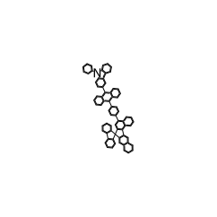 c1ccc(-n2c3ccccc3c3cc(-c4c5ccccc5c(-c5ccc(-c6cc7c(c8ccccc68)-c6cc8ccccc8cc6C76c7ccccc7-c7ccccc76)cc5)c5ccccc45)ccc32)cc1